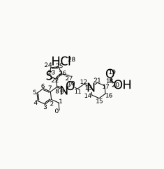 CCc1ccccc1C(=NOCCN1CCC[C@@H](C(=O)O)C1)c1sccc1C.Cl